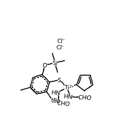 Cc1cc(O[Si](C)(C)C)c([S][Ti+2]([NH]C=O)([NH]C=O)[C]2=CC=CC2)c(C(C)(C)C)c1.[Cl-].[Cl-]